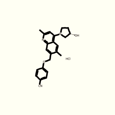 Cc1cc(N2CC[C@H](O)C2)c2cc(C)c(COc3ccc(C#N)cc3)cc2n1.Cl